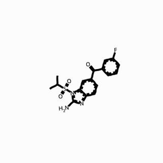 CC(C)S(=O)(=O)n1c(N)nc2ccc(C(=O)c3cccc(F)c3)cc21